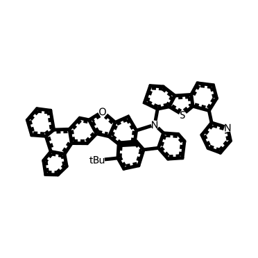 CC(C)(C)c1ccc(-c2ccccc2N(c2ccc3c(c2)oc2cc4c5ccccc5c5ccccc5c4cc23)c2cccc3c2sc2c(-c4ccccn4)cccc23)cc1